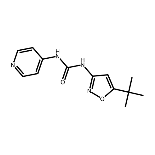 CC(C)(C)c1cc(NC(=O)Nc2ccncc2)no1